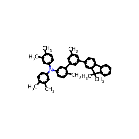 Cc1cc(-c2ccc3c(c2)C(C)(C)c2ccccc2-3)cc(-c2cc(N(c3ccc(C)c(C)c3)c3ccc(C)c(C)c3)ccc2C)c1